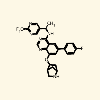 C[C@@H](Nc1ncnc2c(OC3CC4CC3CN4)cc(-c3ccc(F)cc3)cc12)c1cnc(C(F)(F)F)nc1